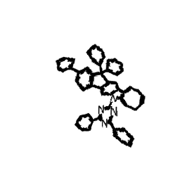 C1#CC/C=c2\c(c3cc4c(cc3n2-c2nc(-c3ccccc3)nc(-c3ccccc3)n2)-c2ccc(-c3ccccc3)cc2C4(c2ccccc2)c2ccccc2)=C/C1